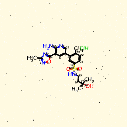 Cc1noc(-c2cc(-c3cc(S(=O)(=O)NCCC(C)(C)O)ccc3C)cnc2N)n1.Cl